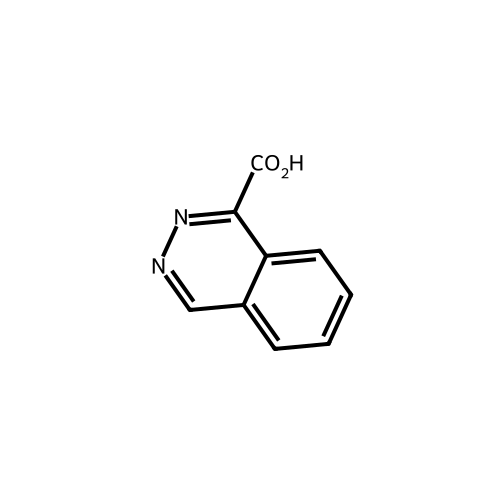 O=C(O)c1nncc2ccccc12